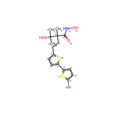 CC(C)(O)C(C)(CCc1ccc(-c2ccc(Br)s2)s1)C(=O)NO